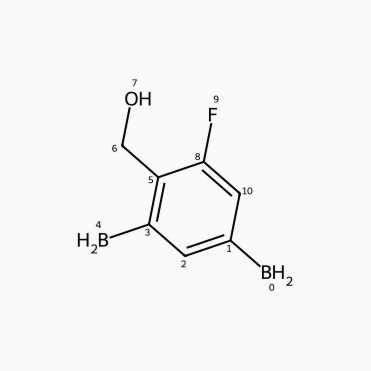 Bc1cc(B)c(CO)c(F)c1